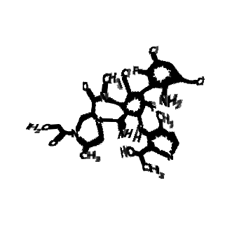 C=CC(=O)N1CC2C(=O)N(C)c3c(Cl)c(-c4c(N)c(Cl)cc(Cl)c4F)c(F)c(Nc4c(C)ccnc4C(C)O)c3C(=N)N2CC1C